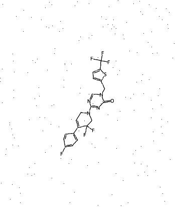 O=c1nc(N2CC=C(c3ccc(F)cc3)C(F)(F)C2)ncn1Cc1ccc(C(F)(F)F)s1